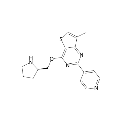 Cc1csc2c(OC[C@H]3CCCN3)nc(-c3ccncc3)nc12